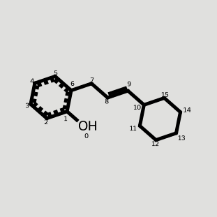 Oc1ccccc1CC=CC1CCCCC1